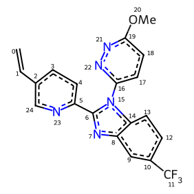 C=Cc1ccc(-c2nc3cc(C(F)(F)F)ccc3n2-c2ccc(OC)nn2)nc1